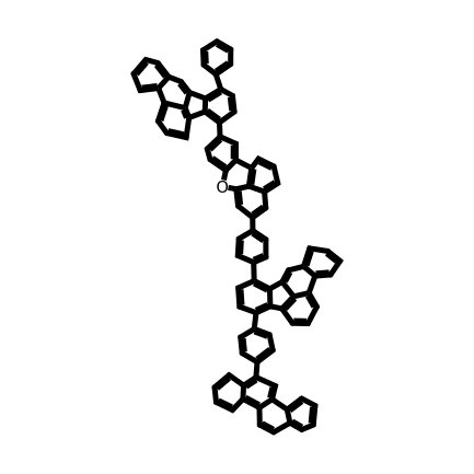 c1ccc(-c2ccc(-c3ccc4c(c3)-c3cccc5cc(-c6ccc(-c7ccc(-c8ccc(-c9cc%10c%11ccccc%11ccc%10c%10ccccc9%10)cc8)c8c7-c7cc9ccccc9c9cccc-8c79)cc6)cc(c35)O4)c3c2-c2cc4ccccc4c4cccc-3c24)cc1